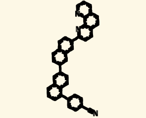 N#Cc1ccc(-c2cccc3cc(-c4ccc5ccc(-c6ccc7ccc8cccnc8c7n6)cc5c4)ccc23)cc1